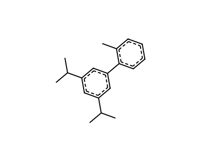 Cc1ccccc1-c1cc(C(C)C)cc(C(C)C)c1